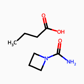 CCCC(=O)O.NC(=O)N1CCC1